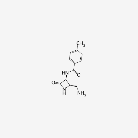 Cc1ccc(C(=O)N[C@@H]2C(=O)N[C@@H]2CN)cc1